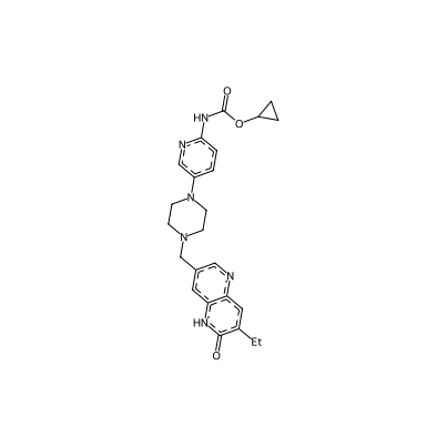 CCc1cc2ncc(CN3CCN(c4ccc(NC(=O)OC5CC5)nc4)CC3)cc2[nH]c1=O